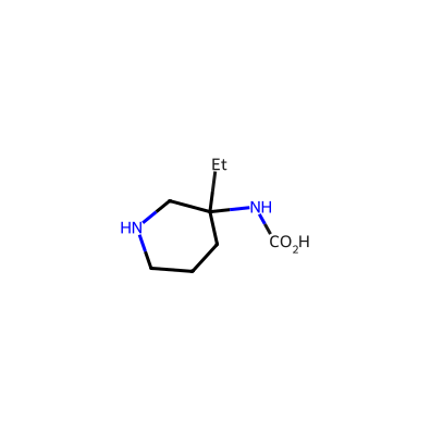 CCC1(NC(=O)O)CCCNC1